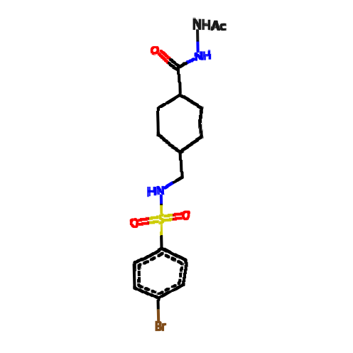 CC(=O)NNC(=O)C1CCC(CNS(=O)(=O)c2ccc(Br)cc2)CC1